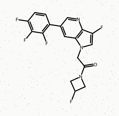 O=C(Cn1cc(F)c2ncc(-c3ccc(F)c(F)c3F)cc21)N1CC(F)C1